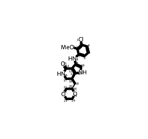 COc1c(Cl)cccc1Nc1c[nH]c2c1C(=O)NCC2C[C@@H]1COCCO1